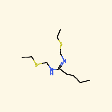 CCCCC(=NCSCC)NCSCC